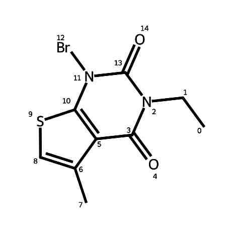 CCn1c(=O)c2c(C)csc2n(Br)c1=O